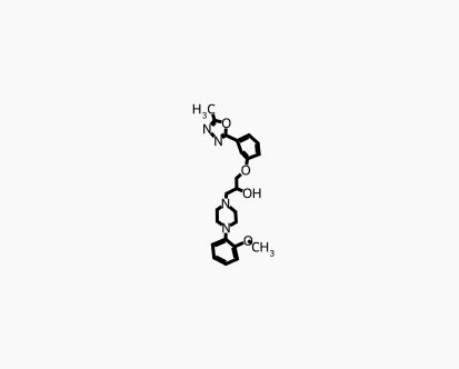 COc1ccccc1N1CCN(CC(O)COc2cccc(-c3nnc(C)o3)c2)CC1